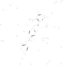 O=C1c2cnccc2CCC1[n+]1ccc(NCC2=CCCC=C2)cc1